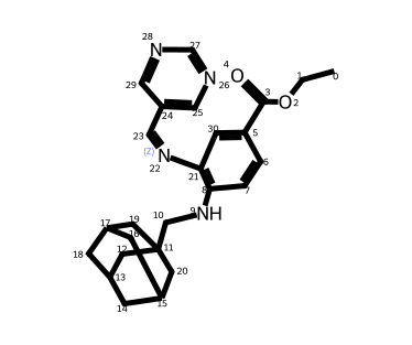 CCOC(=O)c1ccc(NCC23CC4CC(CC(C4)C2)C3)c(/N=C\c2cncnc2)c1